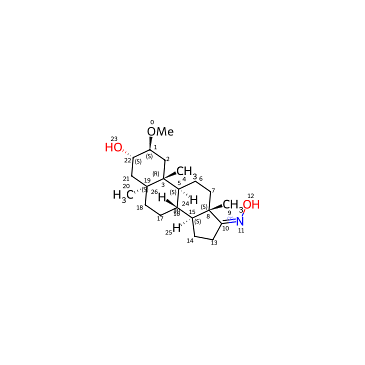 CO[C@H]1C[C@]2(C)[C@H]3CC[C@]4(C)/C(=N\O)CC[C@H]4[C@@H]3CC[C@@]2(C)C[C@@H]1O